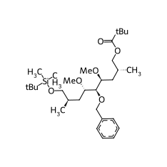 CO[C@@H](C[C@@H](C)COC(=O)C(C)(C)C)[C@@H](OCc1ccccc1)[C@H](C[C@@H](C)CO[Si](C)(C)C(C)(C)C)OC